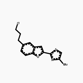 CC(C)(C)c1csc(-c2cc3cc(CCCCl)ccc3o2)n1